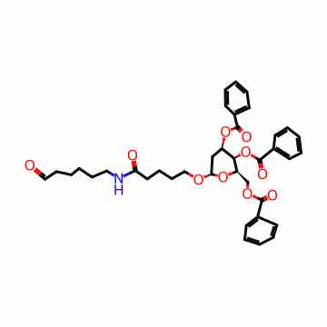 O=CCCCCCNC(=O)CCCCO[C@H]1C[C@@H](OC(=O)c2ccccc2)[C@@H](OC(=O)c2ccccc2)[C@@H](COC(=O)c2ccccc2)O1